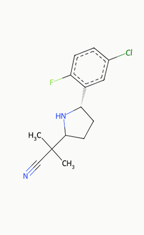 CC(C)(C#N)C1CC[C@@H](c2cc(Cl)ccc2F)N1